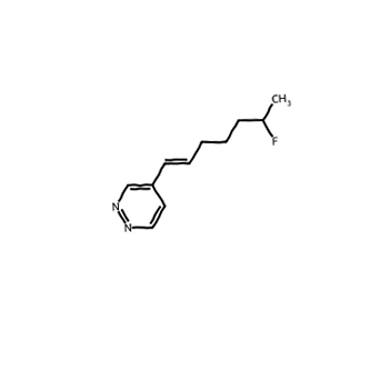 CC(F)CCCC=Cc1ccnnc1